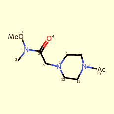 CON(C)C(=O)CN1CCN(C(C)=O)CC1